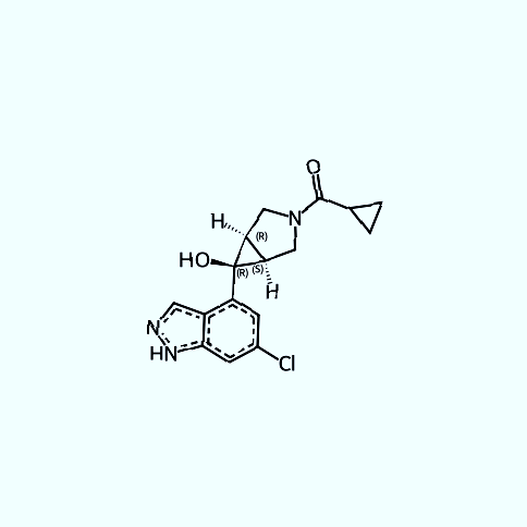 O=C(C1CC1)N1C[C@@H]2[C@H](C1)[C@@]2(O)c1cc(Cl)cc2[nH]ncc12